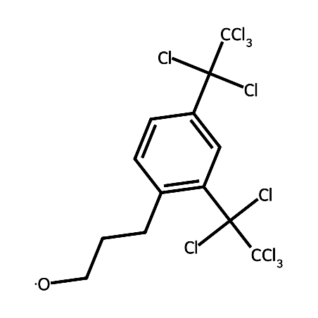 [O]CCCc1ccc(C(Cl)(Cl)C(Cl)(Cl)Cl)cc1C(Cl)(Cl)C(Cl)(Cl)Cl